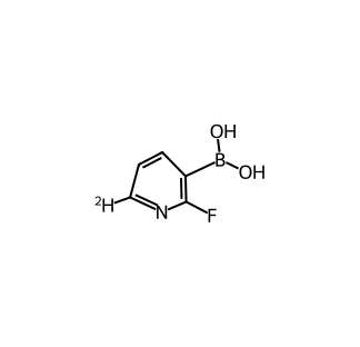 [2H]c1ccc(B(O)O)c(F)n1